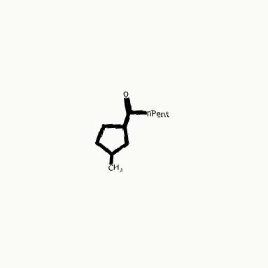 [CH2]CCCCC(=O)C1CCC(C)C1